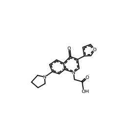 O=C(O)Cn1cc(-c2ccoc2)c(=O)c2ccc(N3CCCC3)cc21